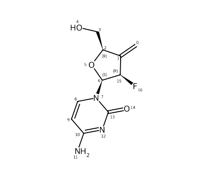 C=C1[C@H](CO)O[C@H](n2ccc(N)nc2=O)[C@@H]1F